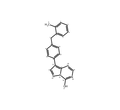 Cc1ccccc1Cc1ccc(-c2cnn3c(O)ncnc23)cc1